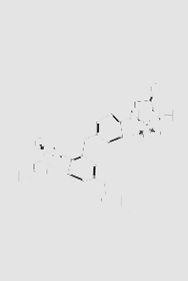 CCc1ccc(NS(=O)(=O)CC)c(Cc2ccc(N3CC(=O)NS3(=O)=O)cc2)c1